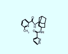 Cc1cccc(C(=O)NC23CC4CC(CC(NC(=O)c5cccnn5)(C4)C2)C3)n1